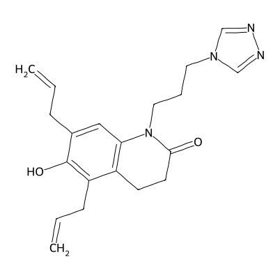 C=CCc1cc2c(c(CC=C)c1O)CCC(=O)N2CCCn1cnnc1